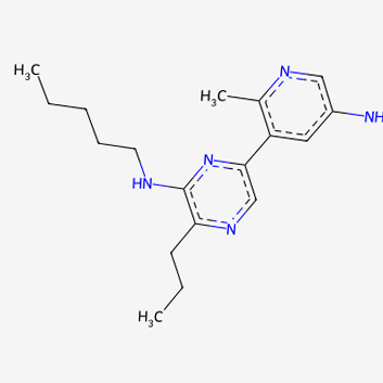 CCCCCNc1nc(-c2cc(N)cnc2C)cnc1CCC